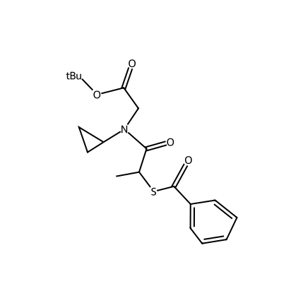 CC(SC(=O)c1ccccc1)C(=O)N(CC(=O)OC(C)(C)C)C1CC1